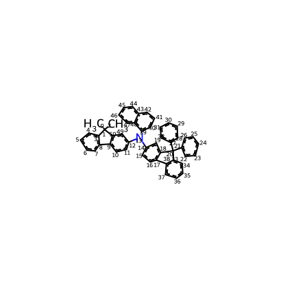 CC1(C)c2ccccc2-c2ccc(N(c3ccc4c(c3)C(c3ccccc3)(c3ccccc3)c3ccccc3-4)c3cccc4ccccc34)cc21